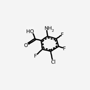 Nc1c(F)c(F)c(Cl)c(F)c1C(=O)O